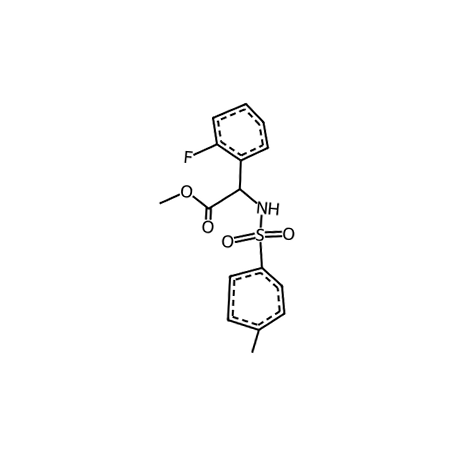 COC(=O)C(NS(=O)(=O)c1ccc(C)cc1)c1ccccc1F